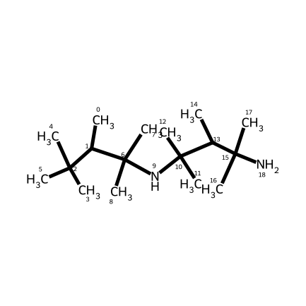 CC(C(C)(C)C)C(C)(C)NC(C)(C)C(C)C(C)(C)N